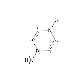 CN1C=CN(N)C=C1